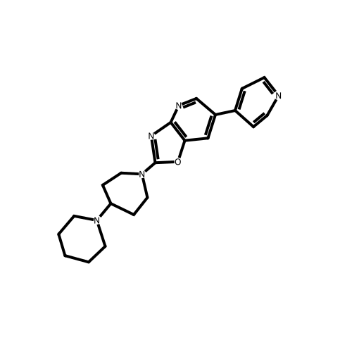 c1cc(-c2cnc3nc(N4CCC(N5CCCCC5)CC4)oc3c2)ccn1